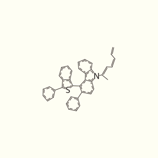 C=C/C=C\C=C(/C)n1c2ccccc2c2c(-c3sc(-c4ccccc4)c4ccccc34)c(-c3ccccc3)ccc21